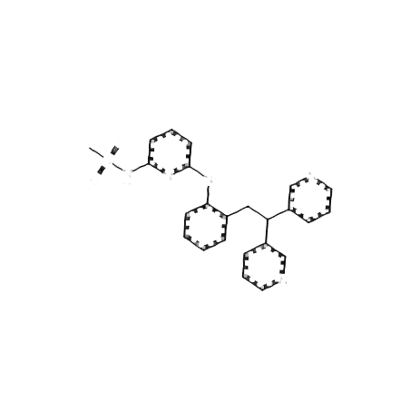 CS(=O)(=O)Nc1cccc(Nc2ccccc2CC(c2cccnc2)c2cccnc2)n1